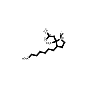 CCCCCCCCCCCCCCCCC1CCN(O)C1(CC(C)O)C(=O)O